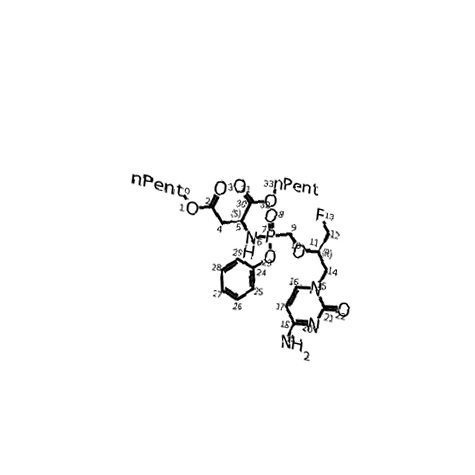 CCCCCOC(=O)C[C@H](NP(=O)(CO[C@@H](CF)Cn1ccc(N)nc1=O)Oc1ccccc1)C(=O)OCCCCC